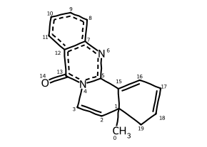 CC12C=Cn3c(nc4ccccc4c3=O)C1=CC=CC2